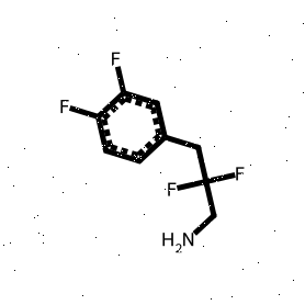 NCC(F)(F)Cc1ccc(F)c(F)c1